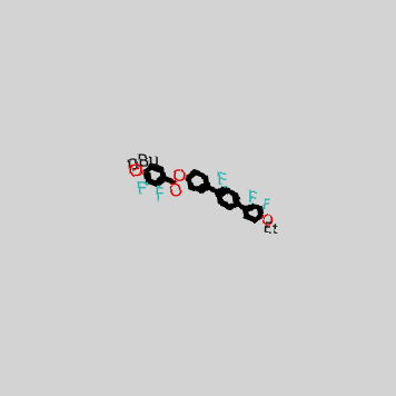 CCCCOc1ccc(C(=O)OC2CC=C(c3ccc(-c4ccc(OCC)c(F)c4F)cc3F)CC2)c(F)c1F